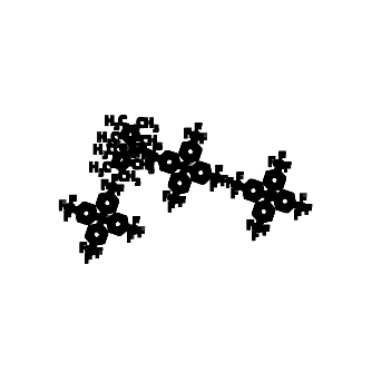 CC1=C(C)[C](C)([Fe+3][C]2(C)C(C)=C(C)C(C)=C2C)C(C)=C1C.FC(F)(F)c1ccc([B-](c2ccc(C(F)(F)F)cc2)(c2ccc(C(F)(F)F)cc2)c2ccc(C(F)(F)F)cc2)cc1.FC(F)(F)c1ccc([B-](c2ccc(C(F)(F)F)cc2)(c2ccc(C(F)(F)F)cc2)c2ccc(C(F)(F)F)cc2)cc1.FC(F)(F)c1ccc([B-](c2ccc(C(F)(F)F)cc2)(c2ccc(C(F)(F)F)cc2)c2ccc(C(F)(F)F)cc2)cc1